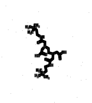 C[N+](C)(C)CCNC(=O)CN(CCN(CC(=O)O)CC(=O)NCC[N+](C)(C)C)CC(=O)O